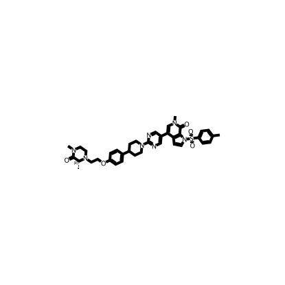 Cc1ccc(S(=O)(=O)n2ccc3c(-c4cnc(N5CCC(c6ccc(OCCN7CCN(C)C(=O)[C@H]7C)cc6)CC5)nc4)cn(C)c(=O)c32)cc1